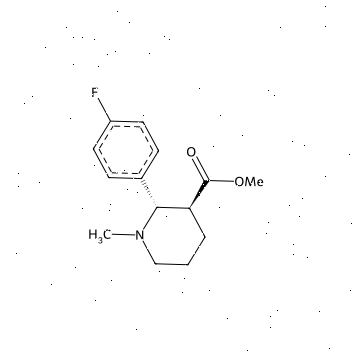 COC(=O)[C@H]1CCCN(C)[C@@H]1c1ccc(F)cc1